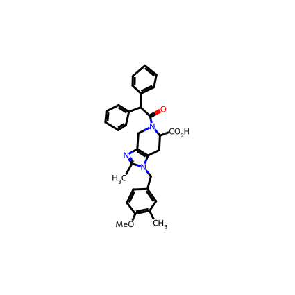 COc1ccc(Cn2c(C)nc3c2CC(C(=O)O)N(C(=O)C(c2ccccc2)c2ccccc2)C3)cc1C